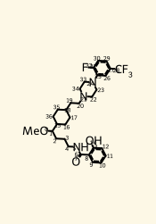 COC(CCCNC(=O)c1ccccc1O)C1CCC(CCN2CCN(c3cc(C(F)(F)F)ccc3F)CC2)CC1